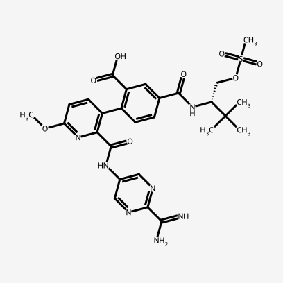 COc1ccc(-c2ccc(C(=O)N[C@H](COS(C)(=O)=O)C(C)(C)C)cc2C(=O)O)c(C(=O)Nc2cnc(C(=N)N)nc2)n1